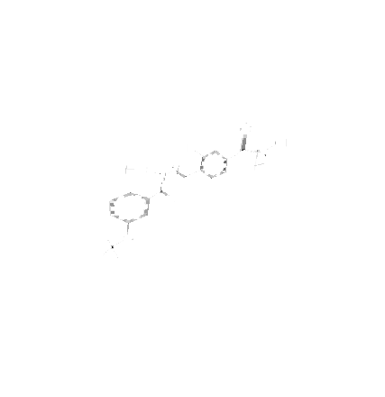 CN(/N=C/c1ccc(C(=O)NO)cc1F)C(=O)c1cccc(OC(F)(F)F)c1